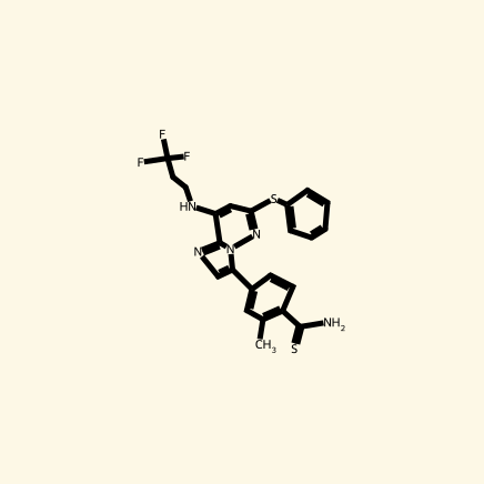 Cc1cc(-c2cnc3c(NCCC(F)(F)F)cc(Sc4ccccc4)nn23)ccc1C(N)=S